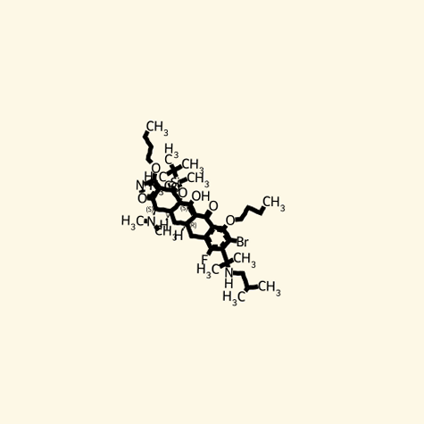 CCCCOc1noc2c1C(=O)[C@@]1(O[Si](C)(C)C(C)(C)C)C(O)=C3C(=O)c4c(c(F)c(C(C)(C)NCC(C)C)c(Br)c4OCCCC)C[C@H]3C[C@H]1[C@@H]2N(C)C